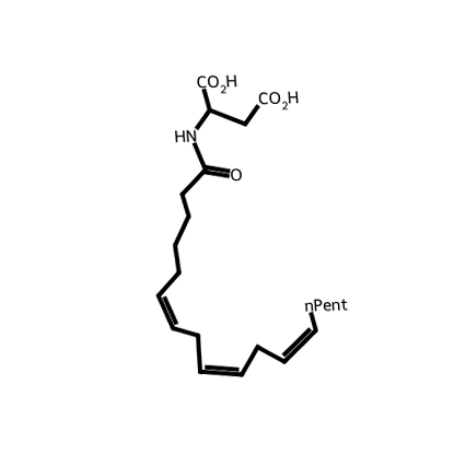 CCCCC/C=C\C/C=C\C/C=C\CCCCC(=O)NC(CC(=O)O)C(=O)O